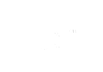 CC(C)(O)CCC(=O)CCC(=O)CCC(C)(C)O